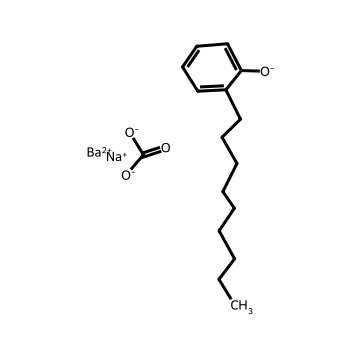 CCCCCCCCCc1ccccc1[O-].O=C([O-])[O-].[Ba+2].[Na+]